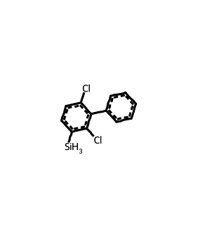 [SiH3]c1ccc(Cl)c(-c2ccccc2)c1Cl